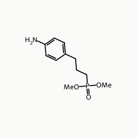 COP(=O)(CCCc1ccc(N)cc1)OC